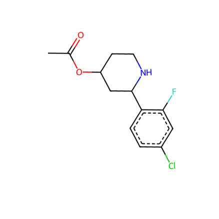 CC(=O)OC1CCNC(c2ccc(Cl)cc2F)C1